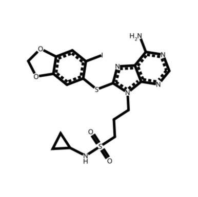 Nc1ncnc2c1nc(Sc1cc3c(cc1I)OCO3)n2CCCS(=O)(=O)NC1CC1